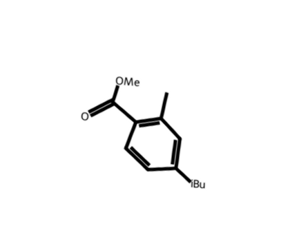 CCC(C)c1ccc(C(=O)OC)c(C)c1